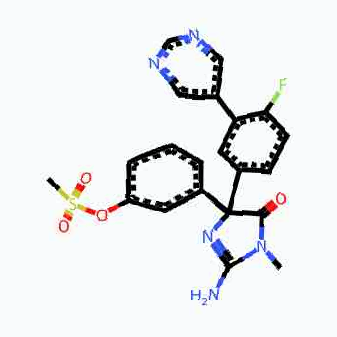 CN1C(=O)C(c2cccc(OS(C)(=O)=O)c2)(c2ccc(F)c(-c3cncnc3)c2)N=C1N